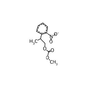 COC(=O)OCC(C)c1ccccc1[N+](=O)[O-]